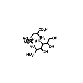 NC(CC(=O)O)C(=O)O.O=C(O)C(O)C(O)C(O)C(O)CO.[MgH2].[MgH2]